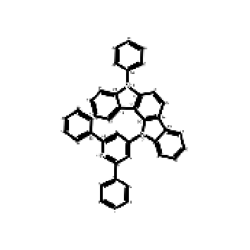 c1ccc(-c2cc(-n3c4ccccc4c4ccc5c(c6ccccc6n5-c5ccccc5)c43)cc(-c3ccccc3)n2)cc1